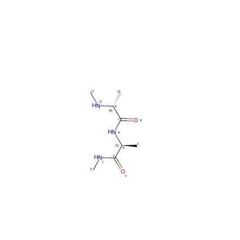 CNC(=O)[C@H](C)NC(=O)[C@@H](C)NC